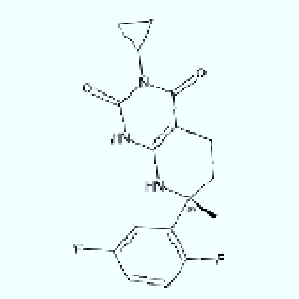 C[C@]1(c2cc(F)ccc2F)CCc2c([nH]c(=O)n(C3CC3)c2=O)N1